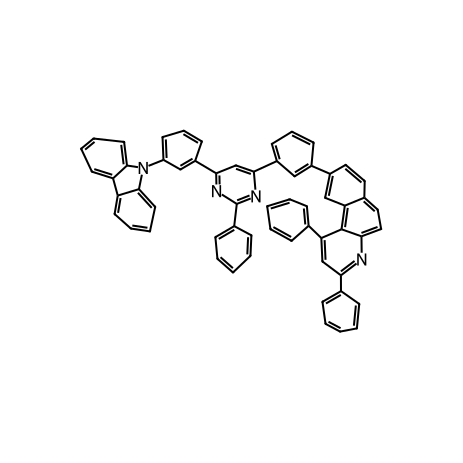 c1ccc(-c2cc(-c3ccccc3)c3c(ccc4ccc(-c5cccc(-c6cc(-c7cccc(-n8c9ccccc9c9ccccc98)c7)nc(-c7ccccc7)n6)c5)cc43)n2)cc1